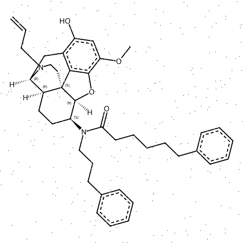 C=CCN1CC[C@]23c4c5c(O)cc(OC)c4O[C@H]2[C@@H](N(CCCc2ccccc2)C(=O)CCCCCc2ccccc2)CC[C@H]3[C@H]1C5